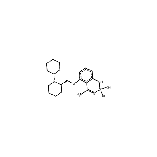 NC1=NS(O)(O)Nc2cccc(OC[C@H]3CCCCN3C3CCCCC3)c21